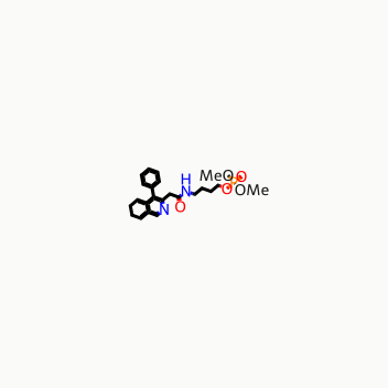 COP(=O)(OC)OCCCCNC(=O)Cc1ncc2c(c1-c1ccccc1)=CCCC=2